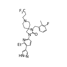 CCc1nc(N2CC3(CCN(CCC(F)(F)F)CC3)N(Cc3cccc(F)c3C)C2=O)ccc1-c1cn[nH]c1